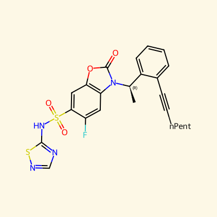 CCCCCC#Cc1ccccc1[C@@H](C)n1c(=O)oc2cc(S(=O)(=O)Nc3ncns3)c(F)cc21